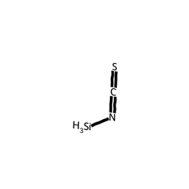 [SiH3]N=C=S